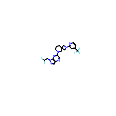 FC(F)Cn1ncc2ncc(N3CCCC4(CN(c5cc(C(F)(F)F)ccn5)C4)C3)nc21